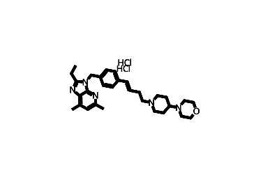 CCc1nc2c(C)cc(C)nc2n1Cc1ccc(C=CCCN2CCC(N3CCOCC3)CC2)cc1.Cl.Cl